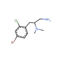 CN(C)C(CN)Cc1ccc(Br)cc1Cl